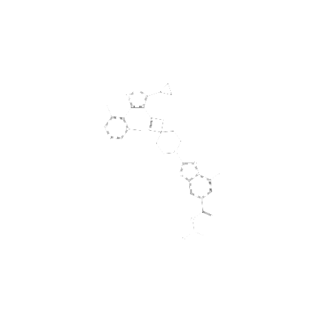 Cc1cncc(C)c1-c1noc(C2CC2)c1C1=CC2(CCN(c3nc4c(F)cc(C(=O)N[S+](N)[O-])cc4s3)CC2)C1